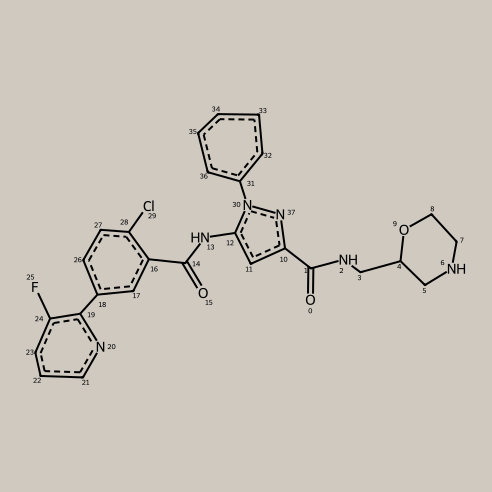 O=C(NCC1CNCCO1)c1cc(NC(=O)c2cc(-c3ncccc3F)ccc2Cl)n(-c2ccccc2)n1